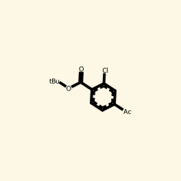 CC(=O)c1ccc(C(=O)OC(C)(C)C)c(Cl)c1